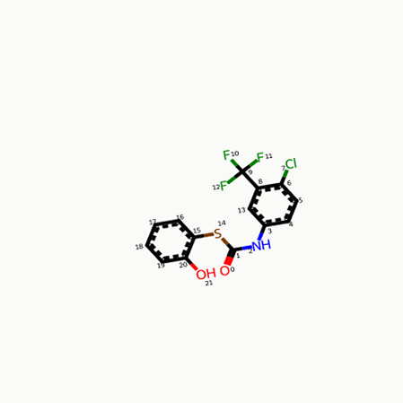 O=C(Nc1ccc(Cl)c(C(F)(F)F)c1)Sc1ccccc1O